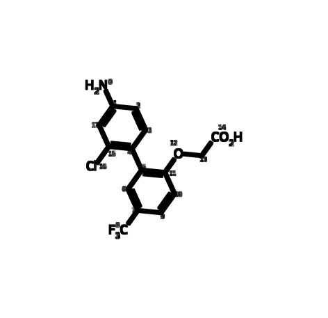 Nc1ccc(-c2cc(C(F)(F)F)ccc2OCC(=O)O)c(Cl)c1